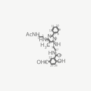 CC(=O)NCCNc1nc(-c2ccccc2)nc(NCCNC(=O)c2cc(C=O)ccc2O)c1C